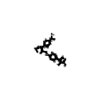 C/N=N\C(=C(/C)COc1ccc(-c2cnn(C)c2C)nn1)c1ccc(C(F)F)cn1